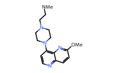 CNCCN1CCN(c2ccnc3ccc(OC)nc23)CC1